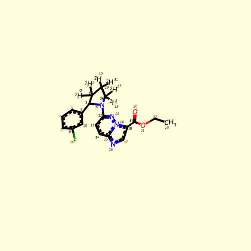 [2H]C1([2H])C(c2cccc(F)c2)N(c2ccc3ncc(C(=O)OCC)n3n2)C([2H])([2H])C1([2H])[2H]